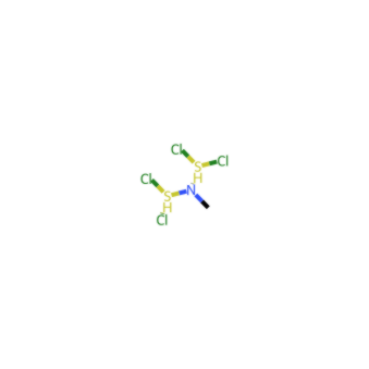 CN([SH](Cl)Cl)[SH](Cl)Cl